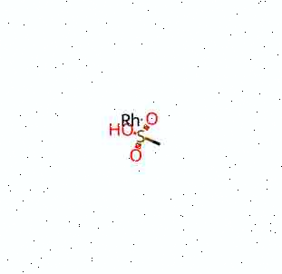 CS(=O)(=O)O.[Rh]